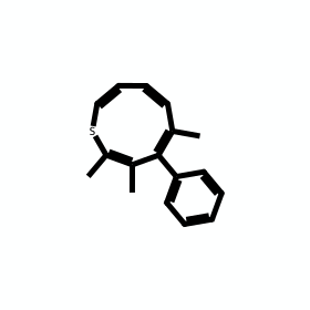 Cc1ccccsc(C)c(C)c1-c1ccccc1